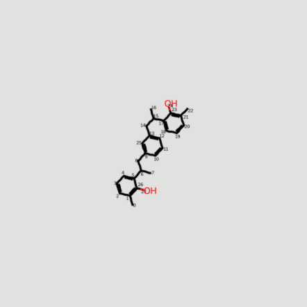 Cc1cccc(C(C)Cc2cccc(CC(C)c3cccc(C)c3O)c2)c1O